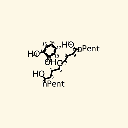 CCCCCC(O)CCCOCCCC(O)CCCCC.Oc1ccccc1O